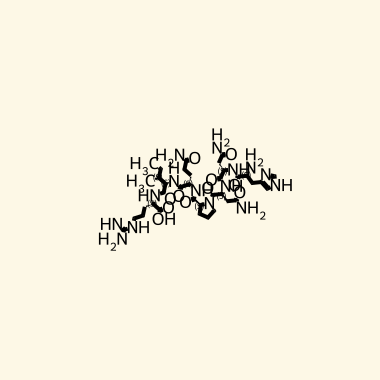 CC[C@H](C)[C@H](NC(=O)[C@H](CCC(N)=O)NC(=O)[C@@H]1CCCN1C(=O)[C@H](CC(N)=O)NC(=O)[C@H](CC(N)=O)NC(=O)[C@@H](N)Cc1c[nH]cn1)C(=O)N[C@@H](CCCNC(=N)N)C(=O)O